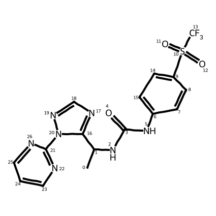 CC(NC(=O)Nc1ccc(S(=O)(=O)C(F)(F)F)cc1)c1ncnn1-c1ncccn1